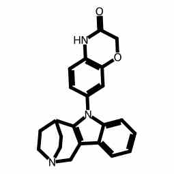 O=C1COc2cc(-n3c4c(c5ccccc53)CN3CCC4CC3)ccc2N1